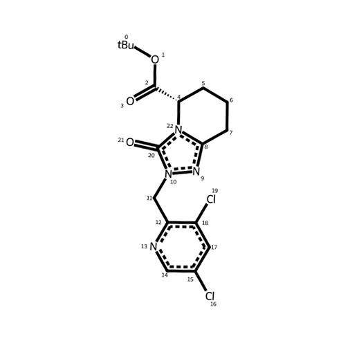 CC(C)(C)OC(=O)[C@@H]1CCCc2nn(Cc3ncc(Cl)cc3Cl)c(=O)n21